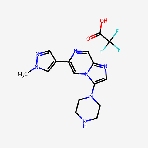 Cn1cc(-c2cn3c(N4CCNCC4)cnc3cn2)cn1.O=C(O)C(F)(F)F